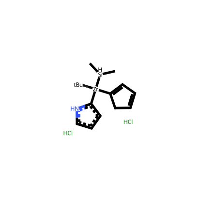 C[SiH](C)[Zr]([C]1=CC=CC1)([c]1ccc[nH]1)[C](C)(C)C.Cl.Cl